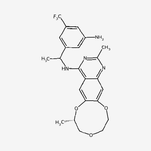 Cc1nc(NC(C)c2cc(N)cc(C(F)(F)F)c2)c2cc3c(cc2n1)OCCOC[C@H](C)O3